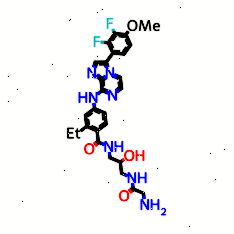 CCc1cc(Nc2nccn3c(-c4ccc(OC)c(F)c4F)cnc23)ccc1C(=O)NCC(O)CNC(=O)CN